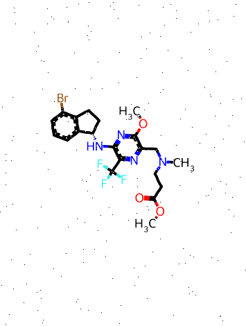 COC(=O)CCN(C)Cc1nc(C(F)(F)F)c(N[C@H]2CCc3c(Br)cccc32)nc1OC